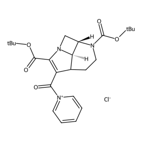 CC(C)(C)OC(=O)C1=C(C(=O)[n+]2ccccc2)C2CCN(C(=O)OC(C)(C)C)[C@H]3CN1[C@H]23.[Cl-]